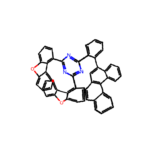 c1ccc(-c2cc3ccc4ccccc4c3c3ccccc23)c(-c2nc(-c3cccc4oc5ccccc5c34)nc(-c3cccc4oc5ccccc5c34)n2)c1